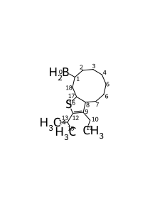 BC1CCCCCCC2C(CC)=C(C(C)C)SC2C1